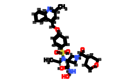 CCN(C1(C(=O)NO)CN(C(=O)C2CCOCC2)C1)S(=O)(=O)c1ccc(OCc2cc(C)nc3ccccc23)cc1